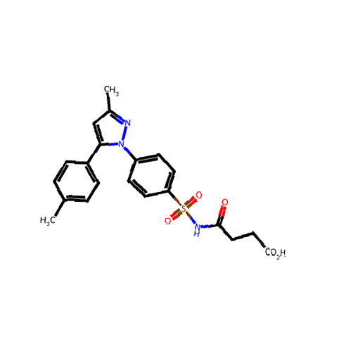 Cc1ccc(-c2cc(C)nn2-c2ccc(S(=O)(=O)NC(=O)CCC(=O)O)cc2)cc1